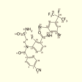 N#Cc1ccc(C(=O)N(CC[S+](N)[O-])c2cccc(C(=O)Nc3c(Br)cc(C(F)(C(F)(F)F)C(F)(F)F)cc3Br)c2F)cc1